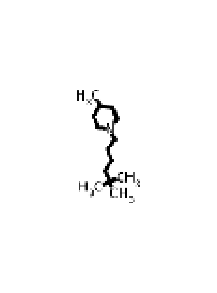 CC1CCN(CCCCC(C)(C)C)CC1